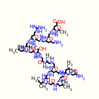 CCC(C)[C@@H](CNCC(=O)N[C@H](CNCC(=O)N[C@H](CNCC(N)=O)CC(C)C)CC(C)C)NC(=O)CNC[C@H](CCCN)NC(=O)CNC[C@H](C)NC(=O)CNC[C@@H](NC(=O)CNC[C@H](CC(C)C)NC(=O)CNC[C@H](CCCNC(=N)N)NC(=O)CNC[C@H](CCCN)NC(=O)CNC[C@H](CCC(=O)O)NC(C)=O)C(C)O